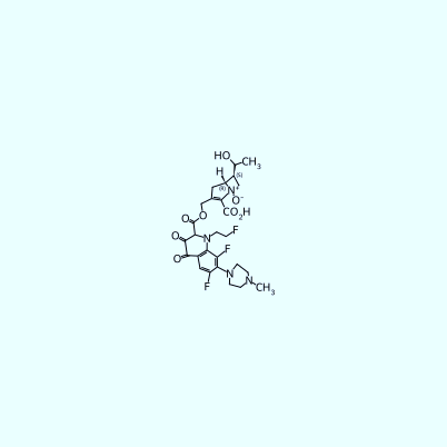 CC(O)[C@H]1C[N+]2([O-])C(C(=O)O)=C(COC(=O)C3C(=O)C(=O)c4cc(F)c(N5CCN(C)CC5)c(F)c4N3CCF)C[C@H]12